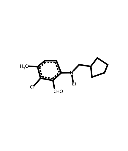 CCN(CC1CCCC1)c1ccc(C)c(Cl)c1C=O